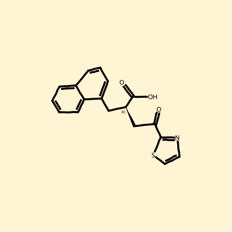 O=C(C[C@@H](Cc1cccc2ccccc12)C(=O)O)c1nccs1